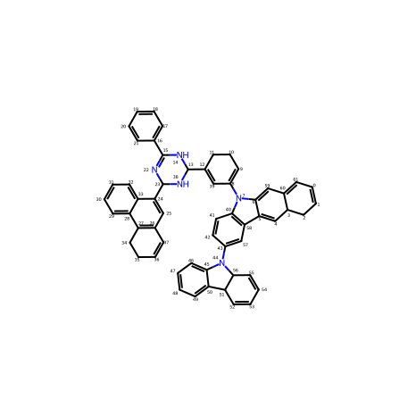 C1=CCC2C=c3c(n(C4=CCCC(C5NC(c6ccccc6)=NC(c6cc7c(c8ccccc68)CCC=C7)N5)=C4)c4ccc(N5c6ccccc6C6C=CC=CC65)cc34)=CC2=C1